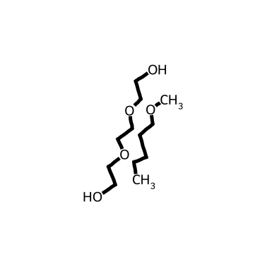 CCCCCOC.OCCOCCOCCO